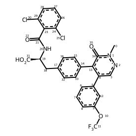 Cn1ncc(-c2cccc(OC(F)(F)F)c2)c(-c2ccc(C[C@H](NC(=O)c3c(Cl)cccc3Cl)C(=O)O)cc2)c1=O